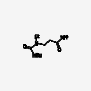 CCCCC(=O)N(CC)CCC([NH])=O